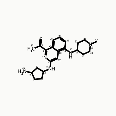 C=C(c1nc(NC2CCC(N)C2)cc2c(NC3CCN(C)CC3)cccc12)C(F)(F)F